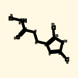 CCNC(=O)CCc1cc(Cl)sc1Cl